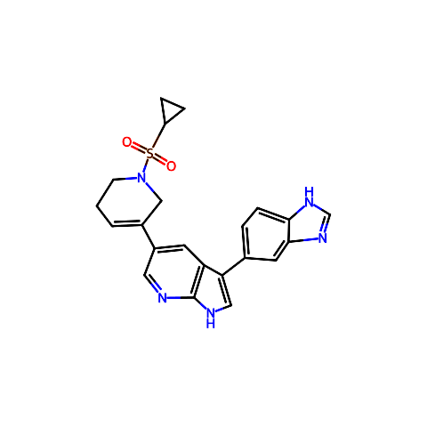 O=S(=O)(C1CC1)N1CCC=C(c2cnc3[nH]cc(-c4ccc5[nH]cnc5c4)c3c2)C1